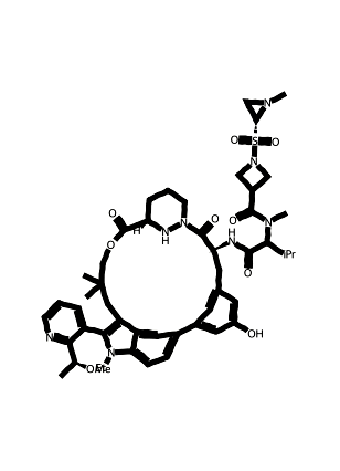 CCn1c(-c2cccnc2[C@H](C)OC)c2c3cc(ccc31)-c1cc(O)cc(c1)C[C@H](NC(=O)C(C(C)C)N(C)C(=O)C1CN(S(=O)(=O)[C@@H]3CN3C)C1)C(=O)N1CCC[C@H](N1)C(=O)OCC(C)(C)C2